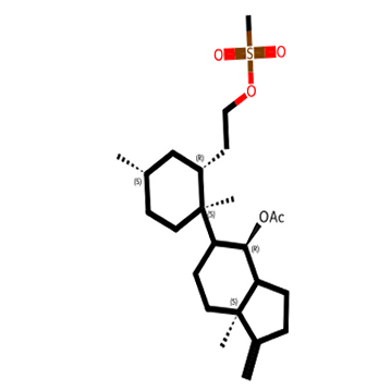 C=C1CCC2[C@H](OC(C)=O)C([C@@]3(C)CC[C@H](C)C[C@@H]3CCOS(C)(=O)=O)CC[C@]12C